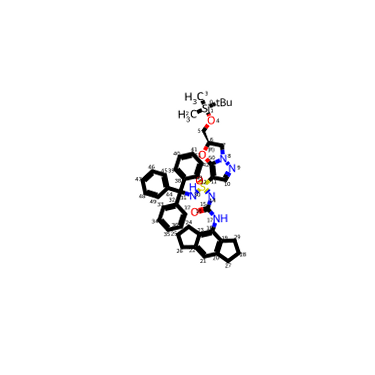 CC(C)(C)[Si](C)(C)OC[C@H]1Cn2ncc(S(=O)(=NC(=O)Nc3c4c(cc5c3CCC5)CCC4)NC(c3ccccc3)(c3ccccc3)c3ccccc3)c2O1